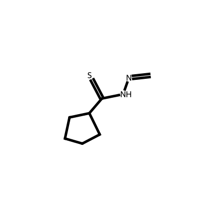 C=NNC(=S)C1CCCC1